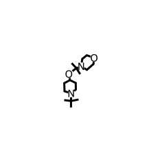 CC(C)(C)N1CCC(OC(C)(C)N2CCOCC2)CC1